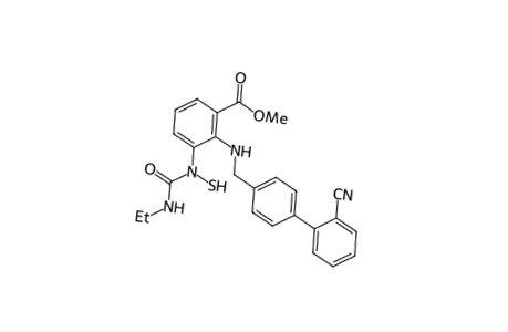 CCNC(=O)N(S)c1cccc(C(=O)OC)c1NCc1ccc(-c2ccccc2C#N)cc1